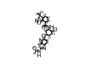 CC(=O)Nc1nc2ccc(Oc3ccc(Cl)c(NC(=O)c4cccc(C5(C#N)CC5)c4Cl)c3)nc2s1